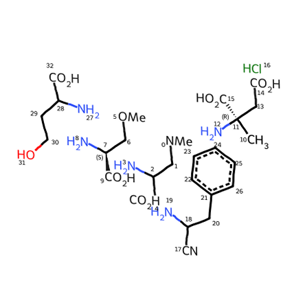 CNCC(N)C(=O)O.COC[C@H](N)C(=O)O.C[C@@](N)(CC(=O)O)C(=O)O.Cl.N#CC(N)Cc1ccccc1.NC(CCO)C(=O)O